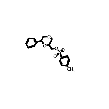 Cc1ccc(S(=O)(=O)OCC2COCC(c3ccccc3)O2)cc1